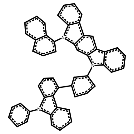 c1ccc(-n2c3ccccc3c3c(-c4cccc(-n5c6ccccc6c6cc7c8ccccc8n(-c8cccc9ccccc89)c7cc65)c4)cccc32)cc1